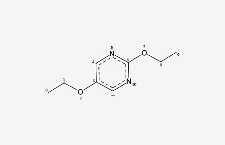 CCOc1cnc(OCC)nc1